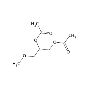 COCC(COC(C)=O)OC(C)=O